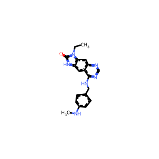 CCn1c(=O)[nH]c2cc3c(NCc4ccc(NC)cc4)ncnc3cc21